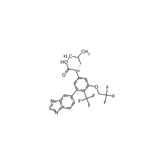 CC(C)C[C@@H](C(=O)O)c1cc(OCC(F)(F)F)c(C(F)(F)F)c(-c2ccc3nsnc3c2)c1